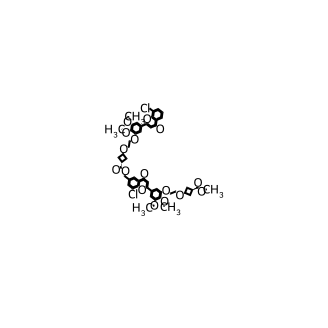 COc1cc(-c2cc(=O)c3cc(COC(=O)[C@H]4C[C@@H](OCCOc5cc(-c6cc(=O)c7cccc(Cl)c7o6)cc(OC)c5OC)C4)cc(Cl)c3o2)cc(OCCO[C@H]2C[C@H](C(=O)OC)C2)c1OC